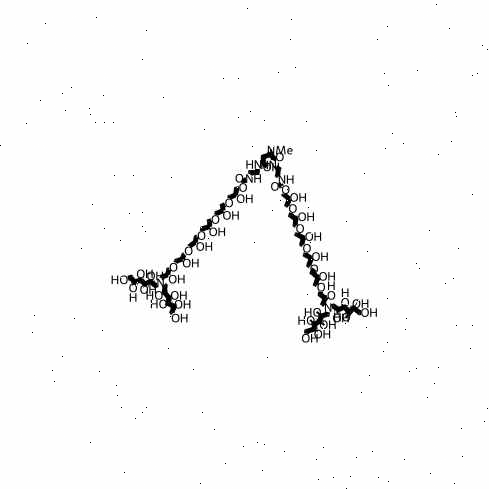 CN[C@H](CC(O)NCCNC(=O)OCC(O)COCC(O)COCC(O)COCC(O)COCC(O)COCC(O)CN(C[C@H](O)[C@@H](O)[C@H](O)[C@H](O)CO)C[C@H](O)[C@@H](O)[C@H](O)[C@H](O)CO)C(=O)NCCNC(=O)OCC(O)COCC(O)COCC(O)COCC(O)COCC(O)COCC(O)CN(C[C@H](O)[C@@H](O)[C@H](O)[C@H](O)CO)C[C@H](O)[C@@H](O)[C@H](O)[C@H](O)CO